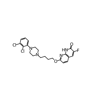 O=c1[nH]c2nc(OCCCCN3CCN(c4cccc(Cl)c4Cl)CC3)ccc2cc1F